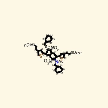 CCCCCCCCCCCCc1csc(-c2cc3c([N+](=O)[O-])c(N(Cc4ccccc4)C(C)=O)c(-c4cc(CCCCCCCCCCCC)cs4)cc3c([N+](=O)[O-])[c]2[Ac][CH2]c2ccccc2)c1